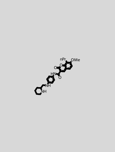 CCCc1c(OC)ccc2cc(C(=O)Nc3ccc(NCC4CCCCN4)cc3)c(=O)oc12